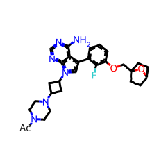 CC(=O)N1CCN(C2CC(n3cc(-c4cccc(OCC56CCC(CC5)O6)c4F)c4c(N)ncnc43)C2)CC1